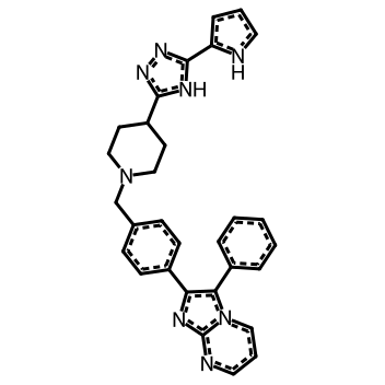 c1ccc(-c2c(-c3ccc(CN4CCC(c5nnc(-c6ccc[nH]6)[nH]5)CC4)cc3)nc3ncccn23)cc1